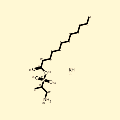 CCCCCCCCCCCC(=O)OS(=O)(=O)C(C)CN.[KH]